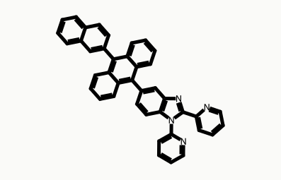 c1ccc(-c2nc3cc(-c4c5ccccc5c(-c5ccc6ccccc6c5)c5ccccc45)ccc3n2-c2ccccn2)nc1